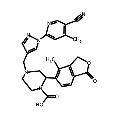 Cc1cc(-n2cc(CN3CCN(C(=O)O)C(c4ccc5c(c4C)COC5=O)C3)cn2)ncc1C#N